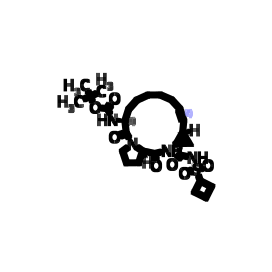 CC(C)(C)OC(=O)N[C@H]1CCCCC/C=C\[C@@H]2C[C@@]2(C(=O)NS(=O)(=O)C2CCC2)NC(=O)[C@@H]2CCCN2C1=O